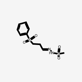 CS(=O)(=O)N/N=C/CCS(=O)(=O)c1ccccc1